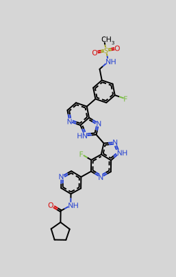 CS(=O)(=O)NCc1cc(F)cc(-c2ccnc3[nH]c(-c4n[nH]c5cnc(-c6cncc(NC(=O)C7CCCC7)c6)c(F)c45)nc23)c1